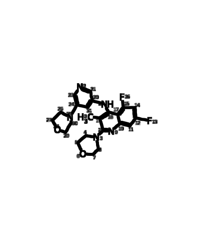 Cc1c(N2CCOCC2)nc2cc(F)cc(F)c2c1Nc1cncc(N2CCOCC2)c1